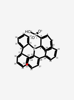 O=S(=O)(O)c1ccccc1P(c1ccccc1-c1ccccc1)c1ccccc1-c1ccccc1